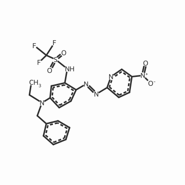 CCN(Cc1ccccc1)c1ccc(N=Nc2ccc([N+](=O)[O-])cn2)c(NS(=O)(=O)C(F)(F)F)c1